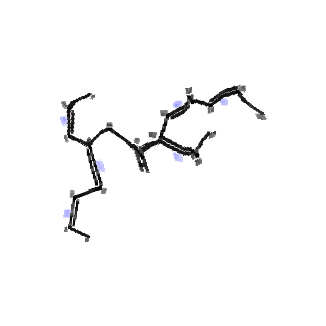 C\C=C/C=C(\C=C/C)CNC(/C=N\C=C\C)=N/C